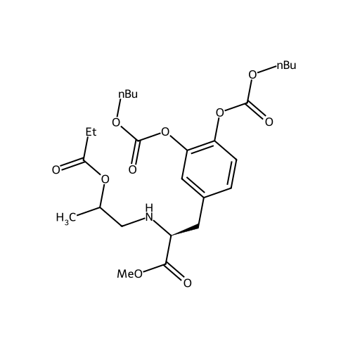 CCCCOC(=O)Oc1ccc(C[C@H](NCC(C)OC(=O)CC)C(=O)OC)cc1OC(=O)OCCCC